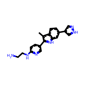 Cc1c(-c2ccc(NCCN)nc2)[nH]c2cc(-c3cn[nH]c3)ccc12